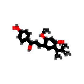 COc1cc(O)c([C@@H](C)C(C)C)cc1/C=C/C(=O)c1ccc(O)cc1